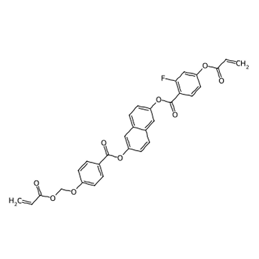 C=CC(=O)OCOc1ccc(C(=O)Oc2ccc3cc(OC(=O)c4ccc(OC(=O)C=C)cc4F)ccc3c2)cc1